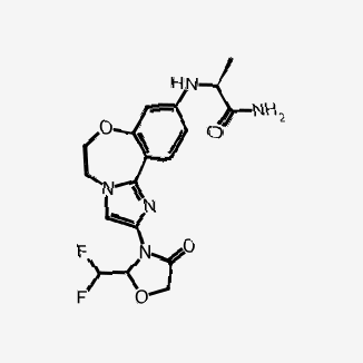 C[C@H](Nc1ccc2c(c1)OCCn1cc(N3C(=O)COC3C(F)F)nc1-2)C(N)=O